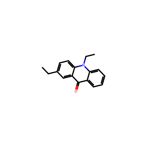 CCc1ccc2c(c1)c(=O)c1ccccc1n2CC